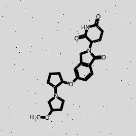 COC1CCN(C2CCCC2Oc2ccc3c(c2)CN(C2CCC(=O)NC2=O)C3=O)C1